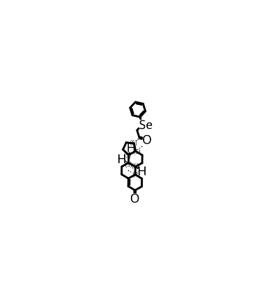 C[C@]12CC[C@H]3[C@@H](CCC4=CC(=O)CC[C@@]43C)[C@@H]1CC[C@@H]2C(=O)C[Se]c1ccccc1